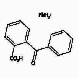 O=C(O)c1ccccc1C(=O)c1ccccc1.[PbH2]